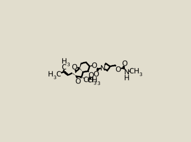 CNC(=O)OCC1CN(C(=O)O[C@@H]2CC[C@]3(CO3)[C@@H]([C@@]3(C)O[C@@H]3CC=C(C)C)[C@@H]2OC)C1